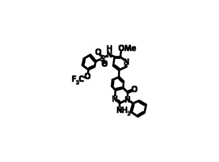 COc1ncc(-c2ccc3nc(N)n(-c4ccccc4)c(=O)c3c2)cc1NS(=O)(=O)c1cccc(OC(F)(F)F)c1